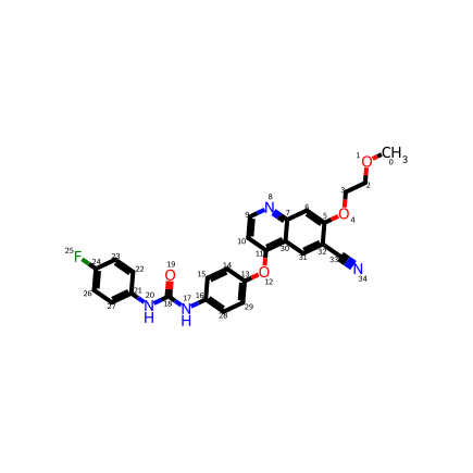 COCCOc1cc2nccc(Oc3ccc(NC(=O)Nc4ccc(F)cc4)cc3)c2cc1C#N